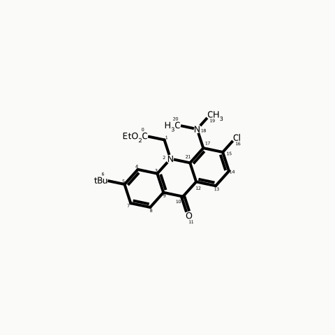 CCOC(=O)Cn1c2cc(C(C)(C)C)ccc2c(=O)c2ccc(Cl)c(N(C)C)c21